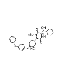 CCCCN1C(=O)[C@@H](C(O)C2CCCCC2)NC(=O)C1C1CCN(Cc2ccc(Oc3ccccc3)cc2)CC1.Cl